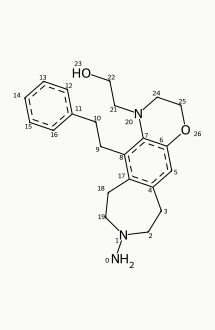 NN1CCc2cc3c(c(CCc4ccccc4)c2CC1)N(CCO)CCO3